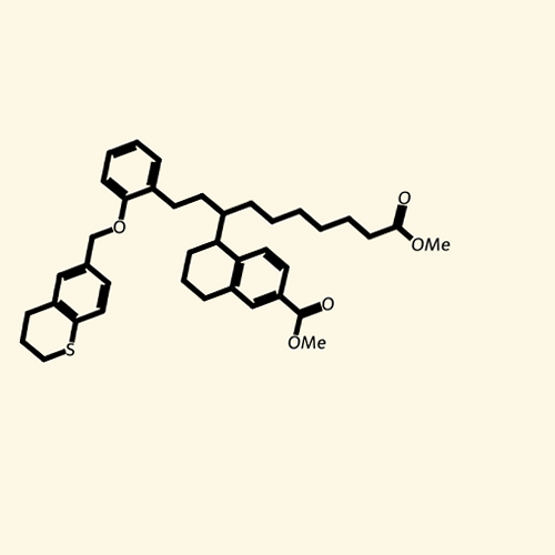 COC(=O)CCCCCCC(CCc1ccccc1OCc1ccc2c(c1)CCCS2)C1CCCc2cc(C(=O)OC)ccc21